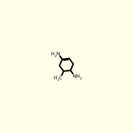 CC1CC(N)=CCC1N